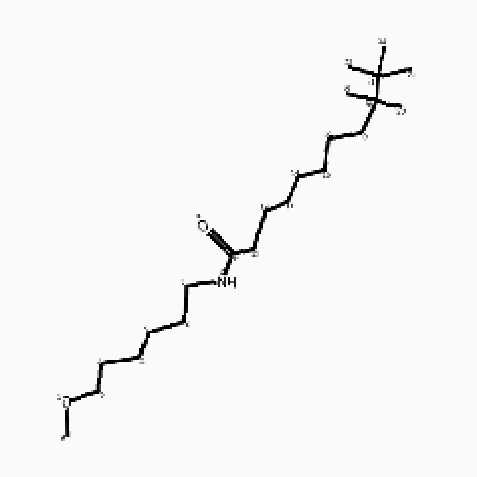 COCCCCCCNC(=O)CCCCCCCC(C)(C)C(C)(C)C